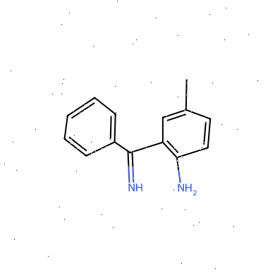 Cc1ccc(N)c(C(=N)c2ccccc2)c1